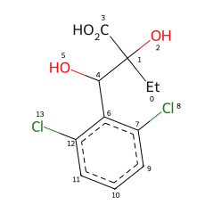 CCC(O)(C(=O)O)C(O)c1c(Cl)cccc1Cl